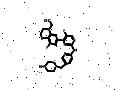 CCN1CCN(Cc2ccc(Nc3ncc(F)c(-c4cc(F)c5c(c4)N(CC=O)CCO5)n3)nc2)CC1